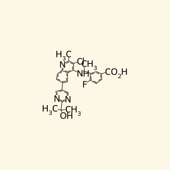 Cc1nc2ccc(-c3cnc(C(C)(C)O)nc3)cc2c(NC(C)c2cc(C(=O)O)ccc2F)c1Cl